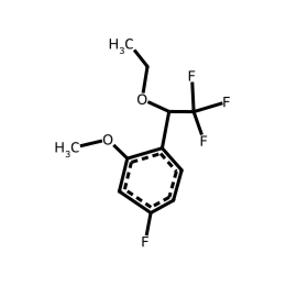 CCOC(c1ccc(F)cc1OC)C(F)(F)F